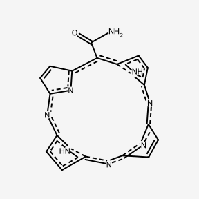 NC(=O)c1c2nc(nc3ccc(nc4nc(nc5ccc1[nH]5)C=C4)[nH]3)C=C2